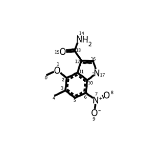 COc1c(C)cc([N+](=O)[O-])c2c1C(C(N)=O)=C[N]2